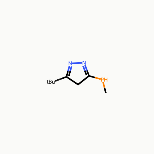 CPC1=NN=C(C(C)(C)C)C1